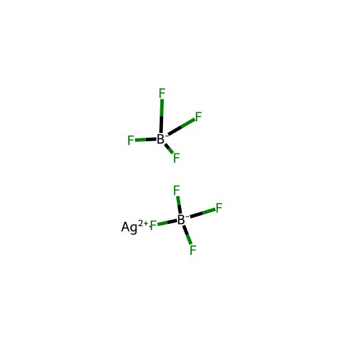 F[B-](F)(F)F.F[B-](F)(F)F.[Ag+2]